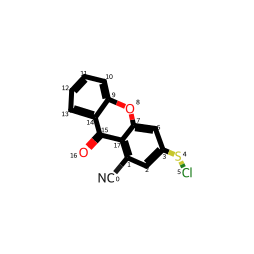 N#Cc1cc(SCl)cc2oc3ccccc3c(=O)c12